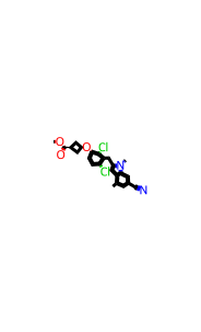 COC(=O)[C@H]1C[C@H](Oc2ccc(Cl)c(Cc3cc4c(C)cc(C#N)cc4n3C)c2Cl)C1